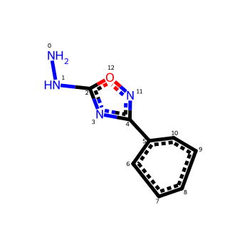 NNc1nc(-c2ccccc2)no1